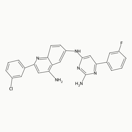 Nc1nc(Nc2ccc3nc(-c4cccc(Cl)c4)cc(N)c3c2)cc(-c2cccc(F)c2)n1